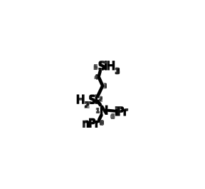 CCCN([SiH2]CC[SiH3])C(C)C